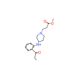 CCC(=O)c1ccccc1NC1CCN(CCC(=O)OC)CC1